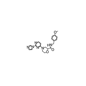 COc1ccc(CNC(=O)C2CN(c3ccnc(-n4ccnc4)n3)CCO2)cc1